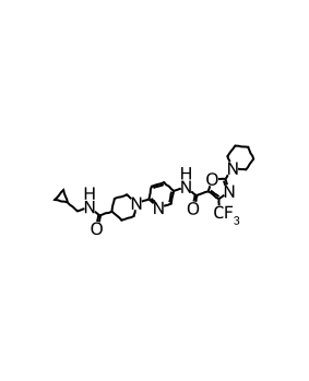 O=C(Nc1ccc(N2CCC(C(=O)NCC3CC3)CC2)nc1)c1oc(N2CCCCC2)nc1C(F)(F)F